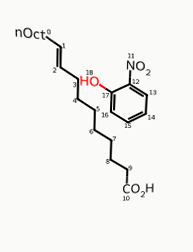 CCCCCCCCC=CCCCCCCCC(=O)O.O=[N+]([O-])c1ccccc1O